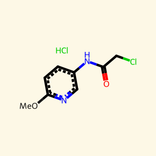 COc1ccc(NC(=O)CCl)cn1.Cl